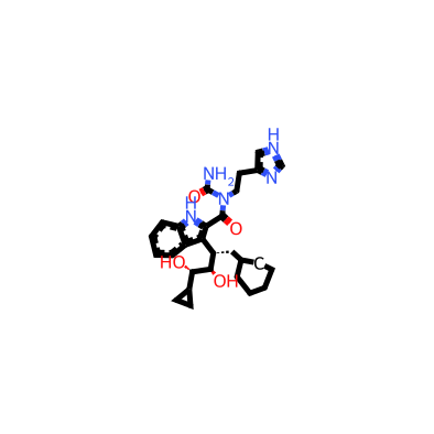 NC(=O)N(CCc1c[nH]cn1)C(=O)c1[nH]c2ccccc2c1[C@H](CC1CCCCC1)[C@@H](O)[C@@H](O)C1CC1